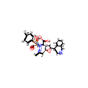 C=CC[C@@H]1OC(c2cncc3ccccc23)C[C@@H]1C(NS(=O)(=O)c1ccc(C)cc1)C(=O)O